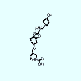 COc1ccc(CNc2nc3ccc(OC/C(=C/F)CNC(=O)O)cc3o2)cc1